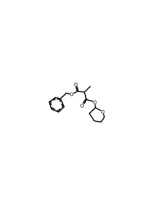 CC(C(=O)OCc1ccccc1)C(=O)OC1CCCCO1